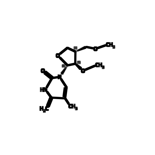 C=C1NC(=O)N([C@@H]2OC[C@H](COC)[C@H]2OC)C=C1C